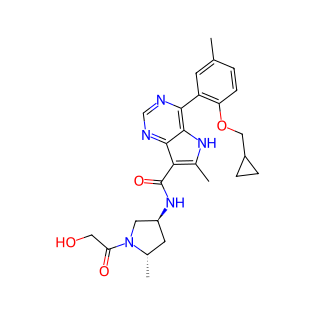 Cc1ccc(OCC2CC2)c(-c2ncnc3c(C(=O)N[C@H]4C[C@H](C)N(C(=O)CO)C4)c(C)[nH]c23)c1